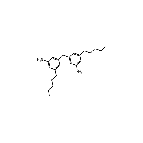 CCCCCc1cc(N)cc(Cc2cc(N)cc(CCCCC)c2)c1